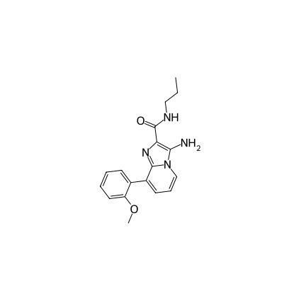 CCCNC(=O)c1nc2c(-c3ccccc3OC)cccn2c1N